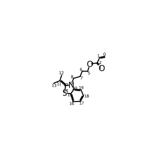 C=CC(=O)OCCCCN1C(=C(C)C)Sc2ccccc21